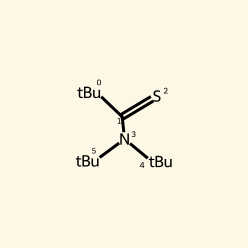 CC(C)(C)C(=S)N(C(C)(C)C)C(C)(C)C